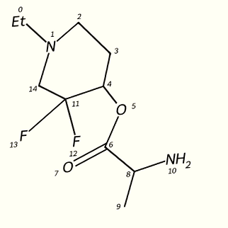 CCN1CCC(OC(=O)C(C)N)C(F)(F)C1